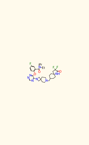 CCN(C(=O)c1cc(F)ccc1Oc1nncnc1N1CC2(CCN(CC3CCC4(CC3)CC(F)(F)C(=O)N4)CC2)C1)C(C)C